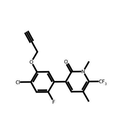 C#CCOc1cc(-c2cc(C)c(C(F)(F)F)n(C)c2=O)c(F)cc1Cl